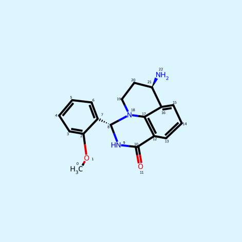 COc1ccccc1[C@H]1NC(=O)c2cccc3c2N1CC[C@H]3N